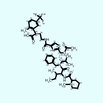 CCC(C)C(NC(=O)C1CCCCN1C)C(=O)N(Cc1ccccc1)[C@H](C[C@@H](OC(C)=O)c1nc(C(=O)NCC[C@@H](C(=O)O)c2cc(C(F)(F)F)ccc2C)cs1)C(C)C